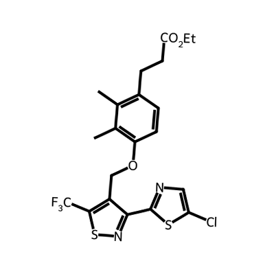 CCOC(=O)CCc1ccc(OCc2c(-c3ncc(Cl)s3)nsc2C(F)(F)F)c(C)c1C